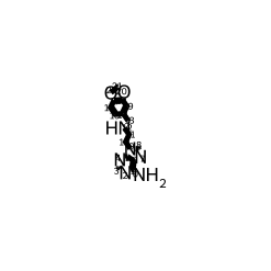 Nc1ncnc2c1ncn2CCNCc1ccc2c(c1)OCO2